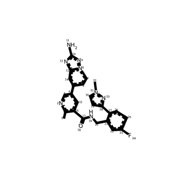 Cc1ncc(-c2ccn3nc(N)nc3c2)cc1C(=O)NCc1cc(F)ccc1-c1ccn(C)n1